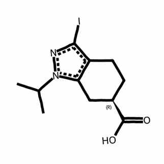 CC(C)n1nc(I)c2c1C[C@H](C(=O)O)CC2